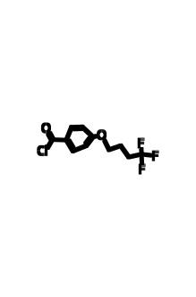 O=C(Cl)c1ccc(OCCCC(F)(F)F)cc1